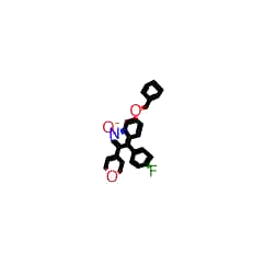 [O-][n+]1cc(C2=CCOCC2)c(-c2ccc(F)cc2)c2ccc(OCc3ccccc3)cc21